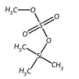 COS(=O)(=O)O[Si](C)(C)C